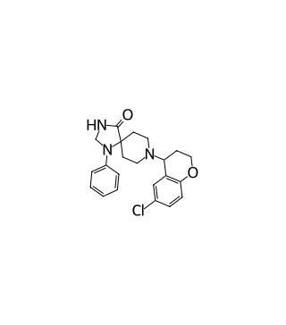 O=C1NCN(c2ccccc2)C12CCN(C1CCOc3ccc(Cl)cc31)CC2